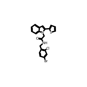 O=C(Cn1c(-c2cccs2)cc2ccccc21)NCc1ccc(Br)cc1Cl